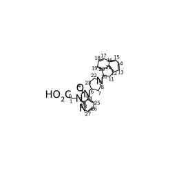 O=C(O)Cn1c(=O)n(C2CCN([C@@H]3Cc4cccc5cccc3c45)CC2)c2cccnc21